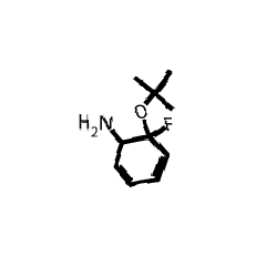 CC(C)(C)OC1(F)C=CC=CC1N